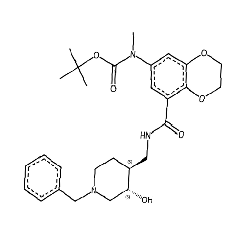 CN(C(=O)OC(C)(C)C)c1cc2c(c(C(=O)NC[C@@H]3CCN(Cc4ccccc4)C[C@H]3O)c1)OCCO2